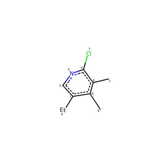 CCc1cnc(Cl)c(C)c1C